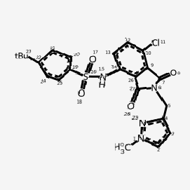 Cn1ccc(CN2C(=O)c3c(Cl)ccc(NS(=O)(=O)c4ccc(C(C)(C)C)cc4)c3C2=O)n1